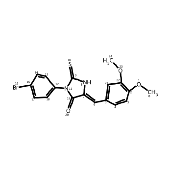 COc1ccc(/C=C2\NC(=S)N(c3ccc(Br)cc3)C2=O)cc1OC